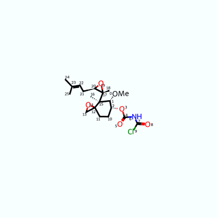 CO[C@@H]1[C@H](OC(=O)NC(=O)Cl)CCC2(CO2)[C@@]1(C)[C@@]1(C)O[C@@H]1CC=C(C)C